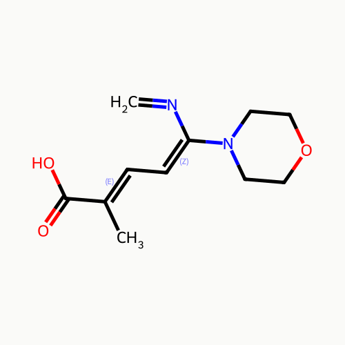 C=N/C(=C\C=C(/C)C(=O)O)N1CCOCC1